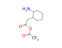 NC1CCCCC1CC(=O)OC(=O)C(F)(F)F